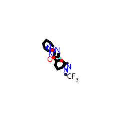 O=C(CN1CC2CCC(C1)N2c1ncc(F)cn1)C1CCc2c(cnn2CC(F)(F)F)C1